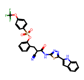 N#CC(Cc1ccccc1OS(=O)(=O)c1ccc(OC(F)(F)F)cc1)C(=O)Nc1nnc(-c2cc3ccccc3[nH]2)s1